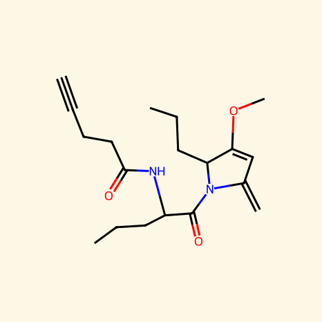 C#CCCC(=O)NC(CCC)C(=O)N1C(=C)C=C(OC)C1CCC